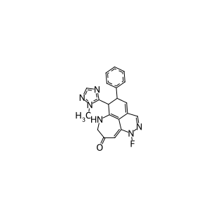 Cn1ncnc1C1C2=C3C(=CC1c1ccccc1)C=NN(F)C3=CC(=O)CN2